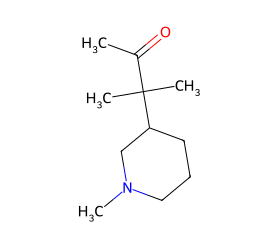 CC(=O)C(C)(C)C1CCCN(C)C1